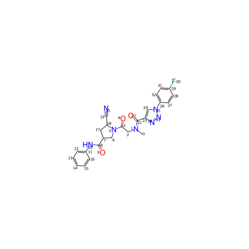 CN(CC(=O)N1CC(C(=O)Nc2ccccc2)CC1C#N)C(=O)c1cn(-c2ccc(F)cc2)nn1